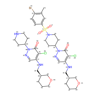 Cc1cc(S(=O)(=O)N2CCC(n3ncc(NC[C@@H]4CCCOC4)c(Cl)c3=O)CC2)ccc1Br.O=c1c(Cl)c(NC[C@@H]2CCCOC2)cnn1C1CCNCC1